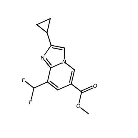 COC(=O)c1cc(C(F)F)c2nc(C3CC3)cn2c1